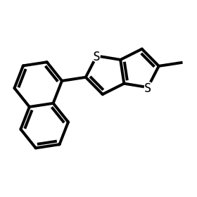 Cc1cc2sc(-c3cccc4ccccc34)cc2s1